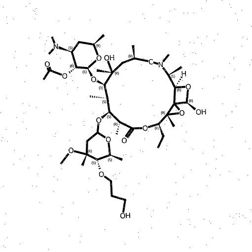 CC[C@H]1OC(=O)[C@H](C)[C@@H](OC2C[C@@](C)(OC)[C@@H](OCCCO)[C@H](C)O2)[C@H](C)[C@@H](O[C@@H]2O[C@H](C)C[C@H](N(C)C)[C@H]2OC(C)=O)[C@](C)(O)C[C@@H](C)CN(C)[C@@H](C)[C@H]2O[C@@H](O)C23O[C@]13C